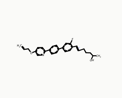 C=CCOc1ccc(-c2ccc(-c3ccc(/C=C/CCCC(C)O)c(F)c3)cc2)nc1